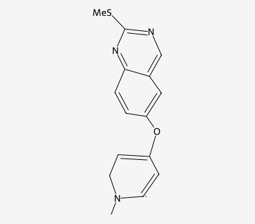 CSc1ncc2cc(OC3=CCN(C)[C]=C3)ccc2n1